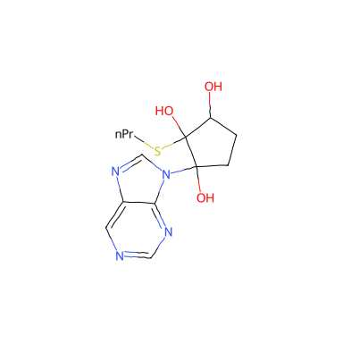 CCCSC1(O)C(O)CCC1(O)n1cnc2cncnc21